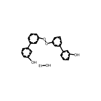 CCO.Oc1cccc(-c2cccc(OOc3cccc(-c4cccc(O)c4)c3)c2)c1